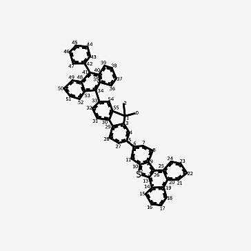 CC1(C)c2cc(-c3ccc4c(c3)sc3c5ccccc5c5ccccc5c43)ccc2-c2ccc(-c3c4ccccc4c(-c4ccccc4)c4ccccc34)cc21